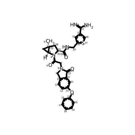 C[C@@]12C[C@@H]1N(C(=O)CN1Cc3ccc(Oc4ccccc4)cc3C1=O)[C@H](C(=O)NCc1cc(C(=N)N)cs1)C2